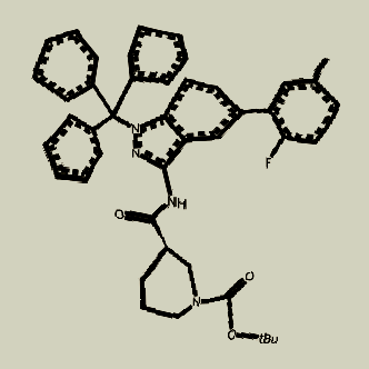 Cc1ccc(F)c(-c2ccc3c(c2)c(NC(=O)[C@@H]2CCCN(C(=O)OC(C)(C)C)C2)nn3C(c2ccccc2)(c2ccccc2)c2ccccc2)c1